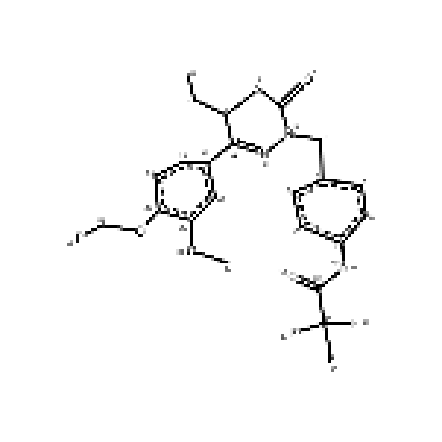 CCC1SC(=O)N(Cc2ccc(NC(=O)C(F)(F)F)cc2)N=C1c1ccc(OCF)c(OC)c1